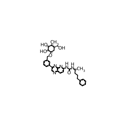 C[C@@H]1[C@@H](CO)C[C@@H](OCc2cccc(-c3cnc4ccc(NC(=O)N[C@H](C)CCCc5ccccc5)nc4n3)c2)[C@H](O)[C@H]1O